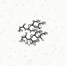 CC(C)CC(C)CC(CC(C)C)OC(CC(C)C)CC(C)CC(C)C.CC(C)CC(C)CC(CC(C)C)OC(CC(C)C)CC(C)CC(C)C.[MgH2]